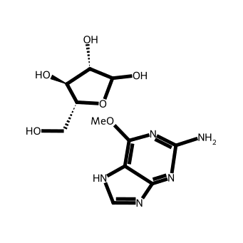 COc1nc(N)nc2nc[nH]c12.OC[C@H]1OC(O)[C@@H](O)[C@@H]1O